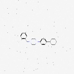 N#Cc1ccc(F)cc1CN1CCN(c2ccc(C3CCCCC3)cc2)CC1